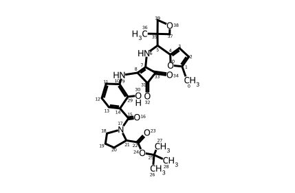 Cc1ccc(C(Nc2c(Nc3cccc(C(=O)N4CCCC4C(=O)OC(C)(C)C)c3O)c(=O)c2=O)C2(C)COC2)o1